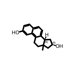 CC12CCc3c(ccc4ccc(O)cc34)[C@@H]1C[C@@H](O)C2